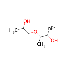 CCCC(O)C(C)OCC(C)O